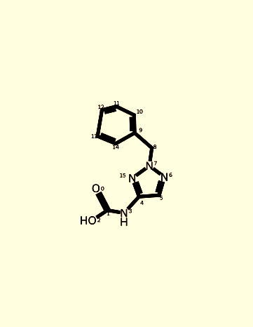 O=C(O)Nc1cnn(Cc2ccccc2)n1